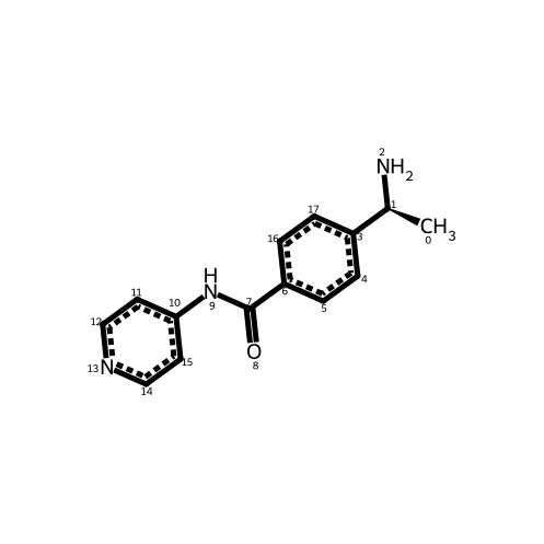 C[C@H](N)c1ccc(C(=O)Nc2ccncc2)cc1